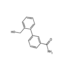 NC(=O)c1cccc(-c2ccccc2CO)c1